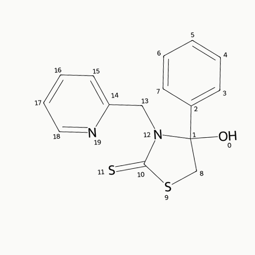 OC1(c2ccccc2)CSC(=S)N1Cc1ccccn1